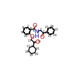 O=C(CNC(=O)c1ccccc1OCC(=O)C1CCCCC1)c1ccccc1